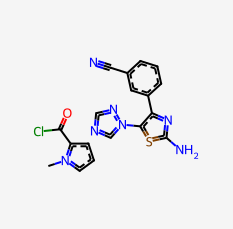 Cn1cccc1C(=O)Cl.N#Cc1cccc(-c2nc(N)sc2-n2cncn2)c1